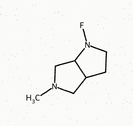 CN1CC2CCN(F)C2C1